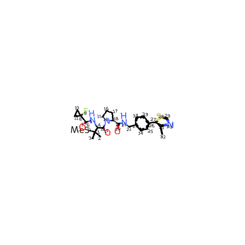 CSC(C)(C)C(NC(=O)C1(F)CC1)C(=O)N1CCC[C@H]1C(=O)NCc1ccc(-c2scnc2C)cc1